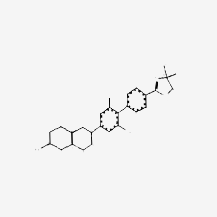 CCCC1CCC2CC(c3cc(F)c(-c4ccc(C5=NC(C)(C)CO5)cc4)c(F)c3)CCC2C1